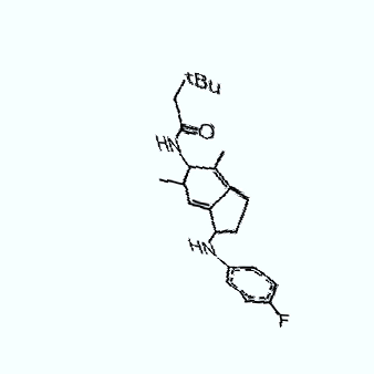 CC1=C2CCC(Nc3ccc(F)cc3)C2=CC(C)C1NC(=O)CC(C)(C)C